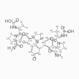 CC(C)[C@H](NC(=O)O)C(=O)N1CCC[C@@]1(C(N)=O)c1ccc([C@H]2CC[C@H](c3ccc([C@]4(C(N)=O)CCCN4C(=O)[C@@H](NC(=O)O)C(C)C)cc3)N2c2ccc(Cl)cc2)cc1